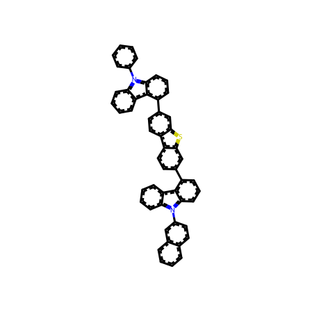 c1ccc(-n2c3ccccc3c3c(-c4ccc5c(c4)sc4cc(-c6cccc7c6c6ccccc6n7-c6ccc7ccccc7c6)ccc45)cccc32)cc1